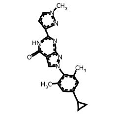 Cc1cc(C2CC2)cc(C)c1-n1cc2c(=O)[nH]c(-c3ccn(C)n3)nc2n1